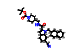 CC(C)(C)OC(=O)N1CCC(CNC(=O)c2cc3ccc(C#N)cc3n2Cc2ccc3ccccc3c2)CC1